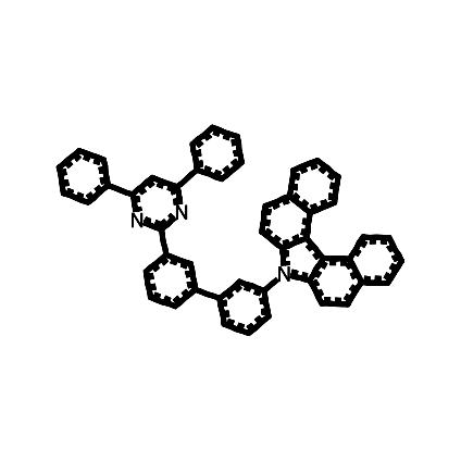 c1ccc(-c2cc(-c3ccccc3)nc(-c3cccc(-c4cccc(-n5c6ccc7ccccc7c6c6c7ccccc7ccc65)c4)c3)n2)cc1